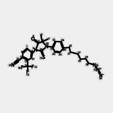 CC1(C)C(=O)N(c2ccc(C#N)c(C(F)(F)F)c2)C(=S)N1c1ccc(CCCCCCN=[N+]=[N-])cc1